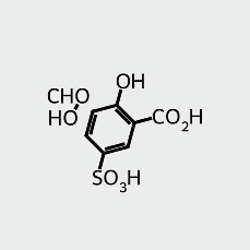 O=C(O)c1cc(S(=O)(=O)O)ccc1O.O=CO